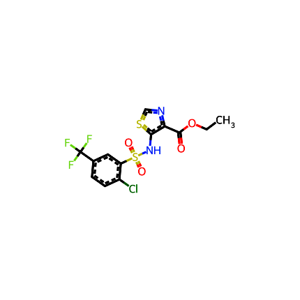 CCOC(=O)c1ncsc1NS(=O)(=O)c1cc(C(F)(F)F)ccc1Cl